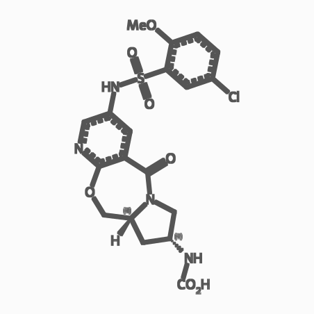 COc1ccc(Cl)cc1S(=O)(=O)Nc1cnc2c(c1)C(=O)N1C[C@H](NC(=O)O)C[C@@H]1CO2